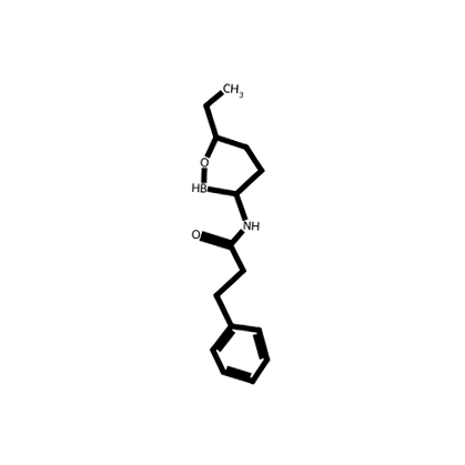 CCC1CCC(NC(=O)CCc2ccccc2)BO1